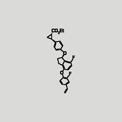 C=Cc1ccc(Oc2ccc(F)c3c2CC[C@H]3Oc2ccc([C@H]3C[C@@H]3C(=O)OCC)cc2)c(F)c1